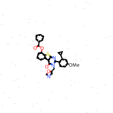 COc1ccc(-c2nc3sc4c(OC(=O)c5ccccc5)cccc4c3c(=O)n2Cc2cnco2)c(C2CC2)c1